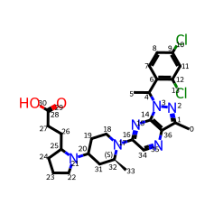 Cc1nn(C(C)c2ccc(Cl)cc2Cl)c2nc(N3CCC(N4CCCC4CCC(=O)O)C[C@@H]3C)cnc12